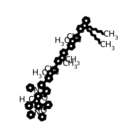 CCCCCCCCC1(CCCCCCC)c2ccccc2-c2ccc(-c3ccc4c(c3)C(C)(C)c3cc(-c5ccc6c(c5)C(C)(C)c5cc(-c7ccc8c(c7)C(C)(C)c7cc(-c9ccc(N(c%10ccccc%10)c%10cc%11c(c%12oc%13ccccc%13c%10%12)-c%10c(cc(N(c%12ccccc%12)c%12ccccc%12)c%12oc%13ccccc%13c%10%12)C%11(C)c%10ccccc%10)cc9)ccc7-8)ccc5-6)ccc3-4)cc21